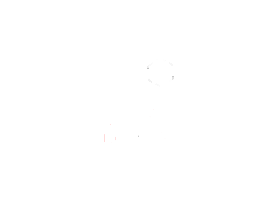 CCOC(OCc1ccccc1)C(C)(CO)CO